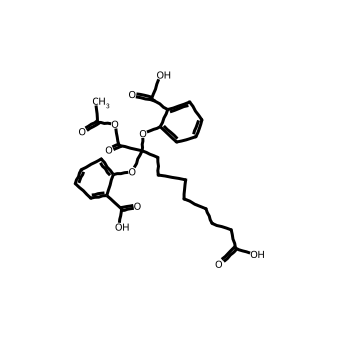 CC(=O)OC(=O)C(CCCCCCCC(=O)O)(Oc1ccccc1C(=O)O)Oc1ccccc1C(=O)O